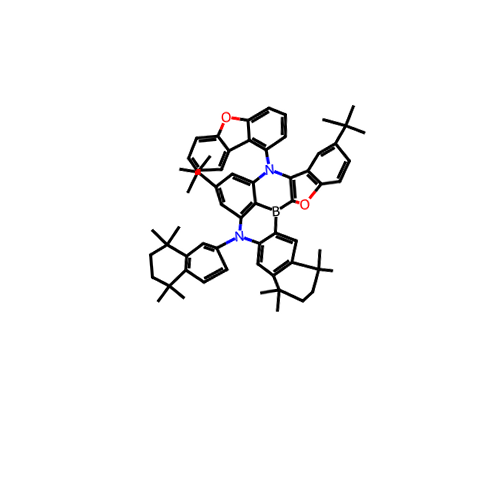 CC(C)(C)c1cc2c3c(c1)N(c1cccc4oc5ccccc5c14)c1c(oc4ccc(C(C)(C)C)cc14)B3c1cc3c(cc1N2c1ccc2c(c1)C(C)(C)CCC2(C)C)C(C)(C)CCC3(C)C